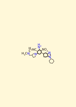 CN(C)CC1CCN(c2cc(-c3ccc4c(c3)ncn4C3CCCCC3)c([N+](=O)[O-])c(N)c2C#N)C1